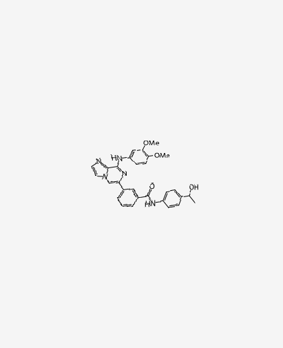 COc1ccc(Nc2nc(-c3cccc(C(=O)Nc4ccc(C(C)O)cc4)c3)cn3ccnc23)cc1OC